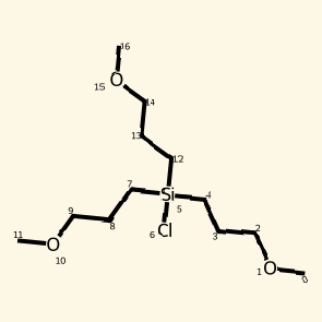 COCCC[Si](Cl)(CCCOC)CCCOC